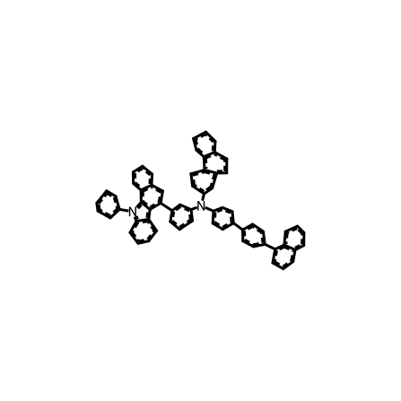 c1ccc(-n2c3ccccc3c3c(-c4cccc(N(c5ccc(-c6ccc(-c7cccc8ccccc78)cc6)cc5)c5ccc6c(ccc7ccccc76)c5)c4)cc4ccccc4c32)cc1